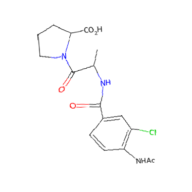 CC(=O)Nc1ccc(C(=O)NC(C)C(=O)N2CCCC2C(=O)O)cc1Cl